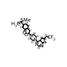 CSN(C)c1ccc(CC(=O)N2CCN(C3=NC=NC4SC(CC(F)(F)F)=CC34)CC2)c(Cl)c1